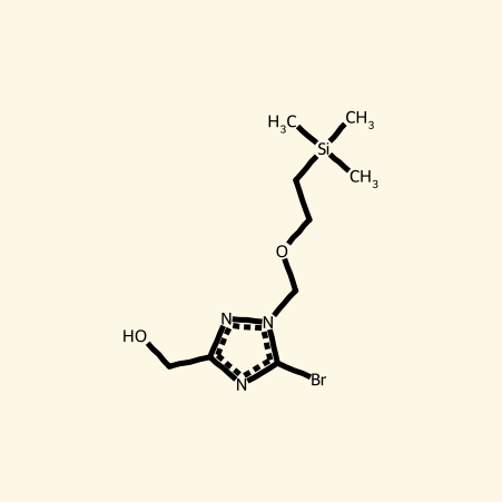 C[Si](C)(C)CCOCn1nc(CO)nc1Br